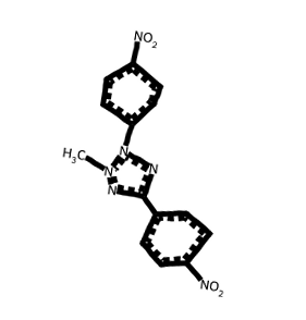 C[n+]1nc(-c2ccc([N+](=O)[O-])cc2)nn1-c1ccc([N+](=O)[O-])cc1